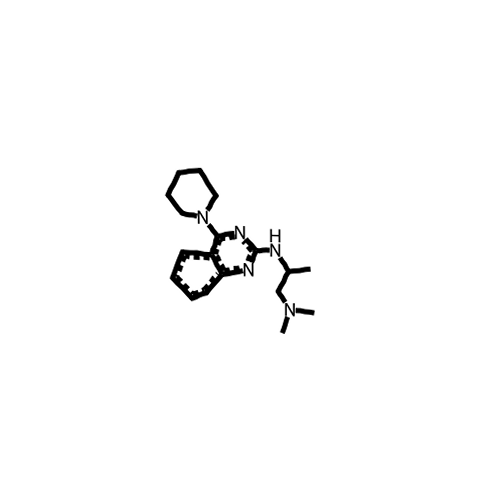 CC(CN(C)C)Nc1nc(N2CCCCC2)c2ccccc2n1